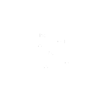 O=[As](O)(O)O.[Pd]